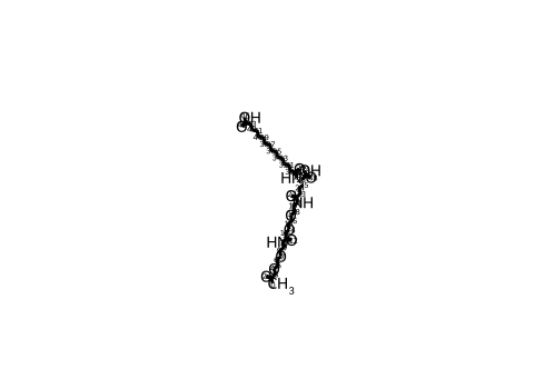 CC(=O)COCCOCCNC(=O)COCCOCCNC(=O)CCC[C@H](NC(=O)CCCCCCCCCCCCCCC(=O)O)C(=O)O